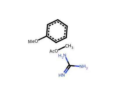 COC(C)=O.COc1ccccc1.N=C(N)N